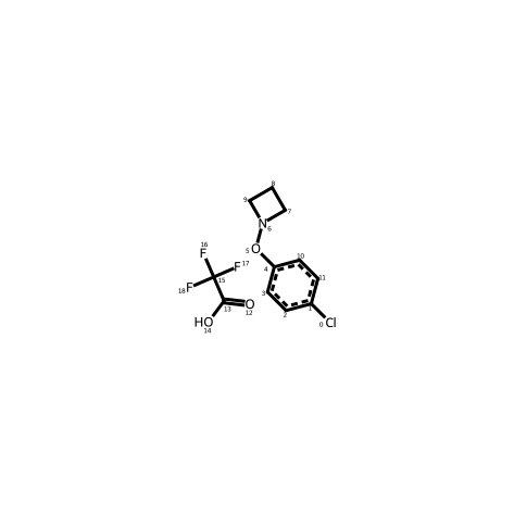 Clc1ccc(ON2CCC2)cc1.O=C(O)C(F)(F)F